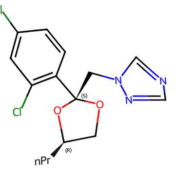 CCC[C@@H]1CO[C@@](Cn2cncn2)(c2ccc(Cl)cc2Cl)O1